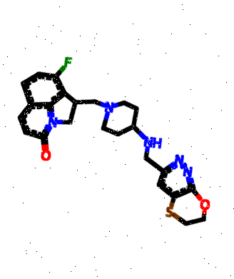 O=c1ccc2ccc(F)c3c2n1CC3CN1CCC(NCc2cc3c(nn2)OCCS3)CC1